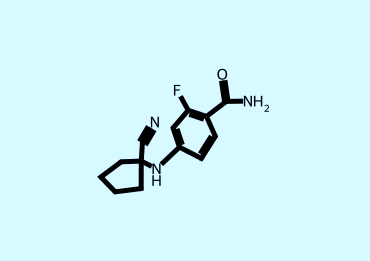 N#CC1(Nc2ccc(C(N)=O)c(F)c2)CCCC1